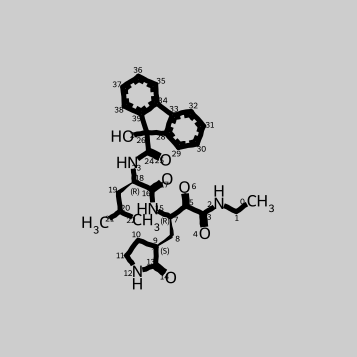 CCNC(=O)C(=O)[C@@H](C[C@@H]1CCNC1=O)NC(=O)[C@@H](CC(C)C)NC(=O)C1(O)c2ccccc2-c2ccccc21